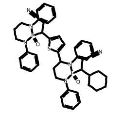 N#CCC(c1ccc(C2CCN(c3ccccc3)P(=O)(C(CC#N)C3CCCCC3)N2c2ccccc2)s1)P1(=O)N(c2ccccc2)CCCN1c1ccccc1